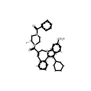 C[C@@H]1CN(C(=O)c2ccccc2)CCN1C(=O)C1=Cc2ccccc2-c2c(C3CCCCC3)c3ccc(C(=O)O)cc3n2C1